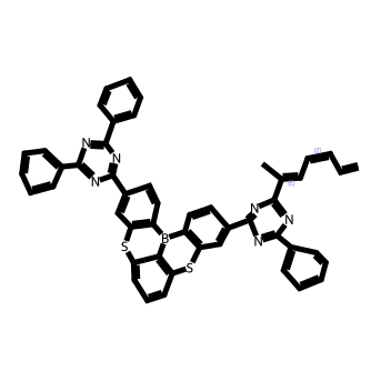 C=C/C=C\C=C(/C)c1nc(-c2ccccc2)nc(-c2ccc3c(c2)Sc2cccc4c2B3c2ccc(-c3nc(-c5ccccc5)nc(-c5ccccc5)n3)cc2S4)n1